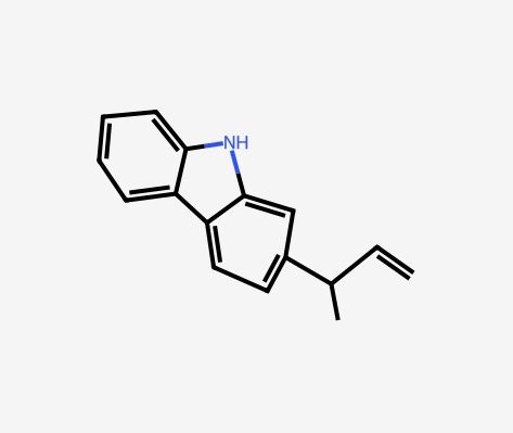 C=CC(C)c1ccc2c(c1)[nH]c1ccccc12